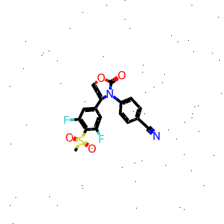 CS(=O)(=O)c1c(F)cc(-c2coc(=O)n2-c2ccc(C#N)cc2)cc1F